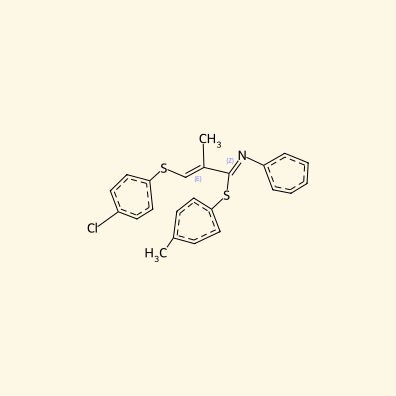 CC(=C\Sc1ccc(Cl)cc1)/C(=N/c1ccccc1)Sc1ccc(C)cc1